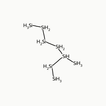 [SiH3][SiH2][SiH2][SiH2][SiH]([SiH3])[SiH2][SiH3]